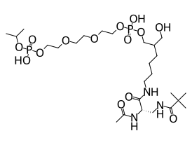 CC(=O)N[C@@H](CNC(=O)C(C)(C)C)C(=O)NCCCCC(CO)COP(=O)(O)OCCOCCOCCOP(=O)(O)OC(C)C